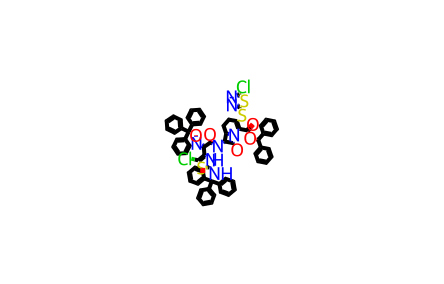 O=C(OC(c1ccccc1)c1ccccc1)C1=C(Sc2nnc(Cl)s2)CCC2C(NC(=O)/C(=N\OC(c3ccccc3)(c3ccccc3)c3ccccc3)c3nc(NC(c4ccccc4)(c4ccccc4)c4ccccc4)sc3Cl)C(=O)N12